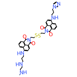 CNCCNCCCNc1ccc2c3c(cccc13)C(=O)N(CCSSCCN1C(=O)c3cccc4c(NCCCn5ccnc5)ccc(c34)C1=O)C2=O